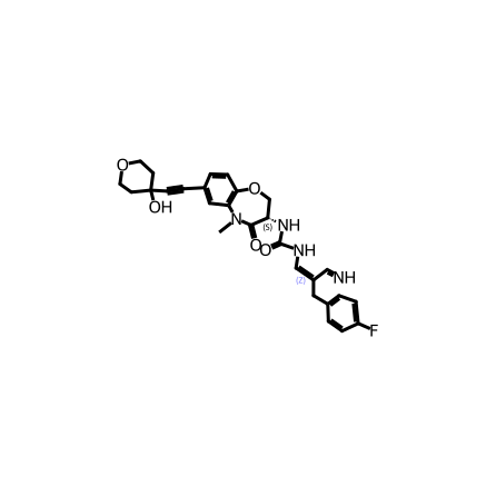 CN1C(=O)[C@@H](NC(=O)N/C=C(\C=N)Cc2ccc(F)cc2)COc2ccc(C#CC3(O)CCOCC3)cc21